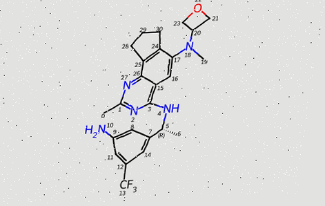 Cc1nc(N[C@H](C)c2cc(N)cc(C(F)(F)F)c2)c2cc(N(C)C3COC3)c3c(c2n1)CCC3